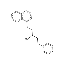 OC(CCc1cccnc1)CSc1cccc2ccccc12